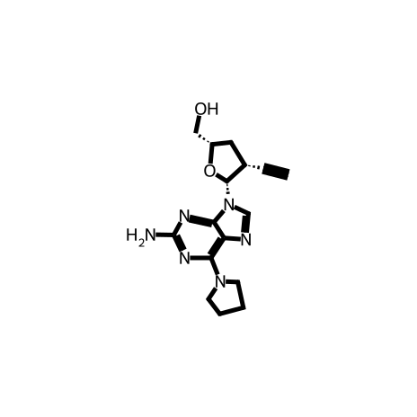 C#C[C@H]1C[C@@H](CO)O[C@H]1n1cnc2c(N3CCCC3)nc(N)nc21